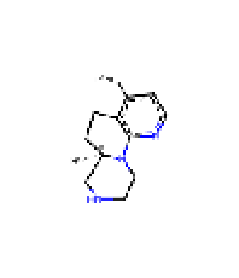 CCCC(C)c1ccnc2c1CC[C@@H]1CNCCN21